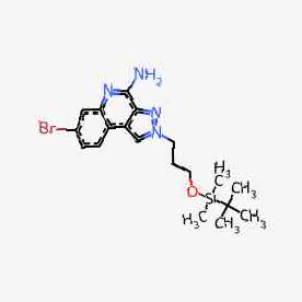 CC(C)(C)[Si](C)(C)OCCCn1cc2c(n1)c(N)nc1cc(Br)ccc12